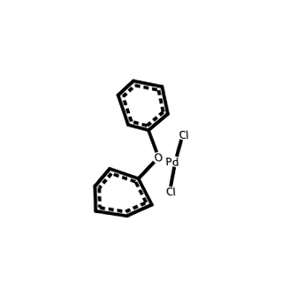 [Cl][Pd][Cl].c1ccc(Oc2ccccc2)cc1